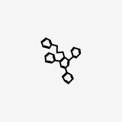 c1ccc(CCCc2c(-c3ccccc3)cc(-c3ccccc3)cc2-c2ccccc2)cc1